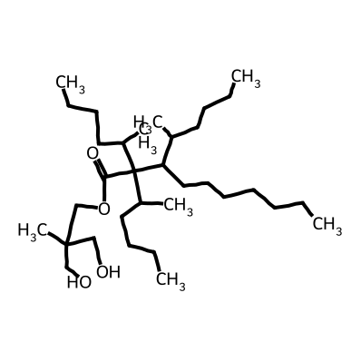 CCCCCCCC(C(C)CCCC)C(C(=O)OCC(C)(CO)CO)(C(C)CCCC)C(C)CCCC